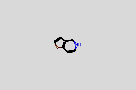 C1=Cc2sccc2CN1